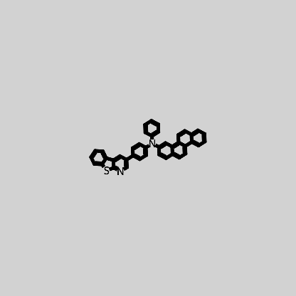 c1ccc(N(c2ccc(-c3cnc4sc5ccccc5c4c3)cc2)c2ccc3ccc4c5ccccc5ccc4c3c2)cc1